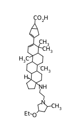 CCOC1CC(C)N(CCNC23CCC[C@@H]2C2CCC4C5(C)CC=C(C6=CC7C(C6)C7C(=O)O)C(C)(C)C5CC[C@@]4(C)C2CC3)C1